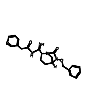 N=C(NC(=O)Cc1cccnc1)[C@@H]1CC[C@@H]2CN1C(=O)N2OCc1ccccc1